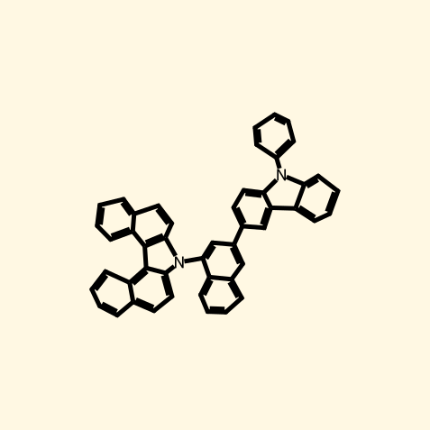 c1ccc(-n2c3ccccc3c3cc(-c4cc(-n5c6ccc7ccccc7c6c6c7ccccc7ccc65)c5ccccc5c4)ccc32)cc1